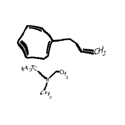 C=CCc1ccccc1.CN(C)C